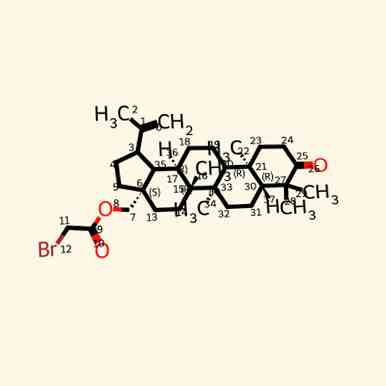 C=C(C)C1CC[C@]2(COC(=O)CBr)CC[C@]3(C)[C@H](CCC4[C@@]5(C)CCC(=O)C(C)(C)[C@@H]5CC[C@]43C)C12